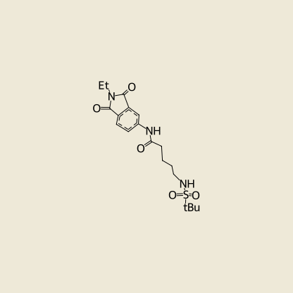 CCN1C(=O)c2ccc(NC(=O)CCCCNS(=O)(=O)C(C)(C)C)cc2C1=O